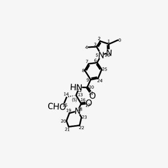 Cc1cc(C)n(-c2ccc(C(=O)N[C@@H](CC=O)C(=O)N3CCCCC3)cc2)n1